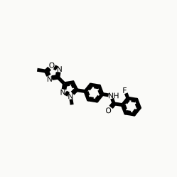 Cc1nc(-c2cc(-c3ccc(NC(=O)c4ccccc4F)cc3)n(C)n2)no1